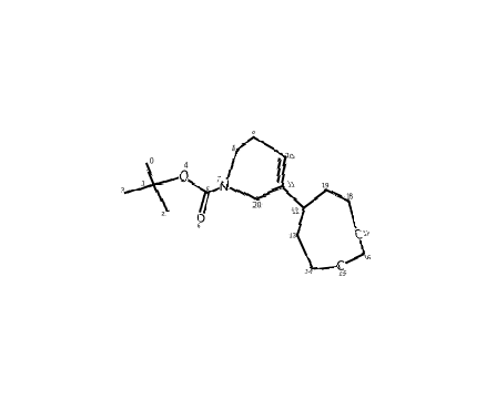 CC(C)(C)OC(=O)N1CCC=C(C2CCCCCCC2)C1